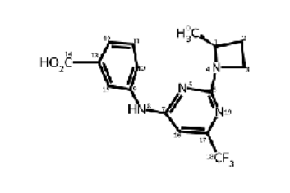 C[C@H]1CCN1c1nc(Nc2cccc(C(=O)O)c2)cc(C(F)(F)F)n1